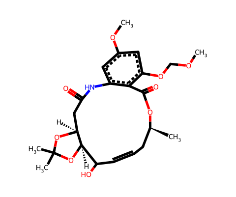 COCOc1cc(OC)cc2c1C(=O)O[C@@H](C)C/C=C\C(O)[C@H]1OC(C)(C)O[C@H]1CC(=O)N2